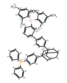 Cc1cc(C)c(B(c2cccc(-c3ccc(C45CC6CC(C4)CC(c4ccc(P(c7ccccc7)c7ccccc7)cc4)(C6)C5)cc3)c2)c2c(C)cc(C)cc2C)c(C)c1